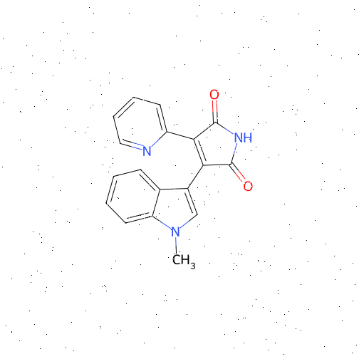 Cn1cc(C2=C(c3ccccn3)C(=O)NC2=O)c2ccccc21